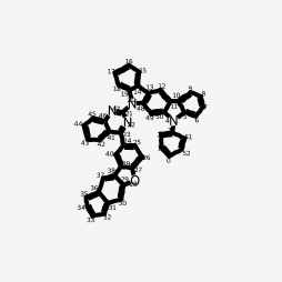 c1ccc(-n2c3ccccc3c3cc4c5ccccc5n(-c5nc(-c6ccc7oc8cc9ccccc9cc8c7c6)c6ccccc6n5)c4cc32)cc1